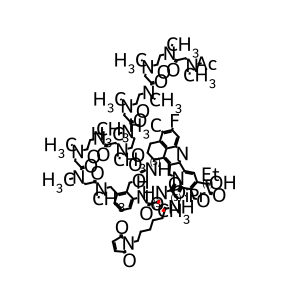 CC[C@@]1(O)C(=O)OCc2c1cc1n(c2=O)Cc2c-1nc1cc(F)c(C)c3c1c2[C@@H](NC(=O)OCc1c(CN(C)C(=O)CN(C)C(=O)CN(C)C(=O)CN(C)C(=O)CN(C)C(=O)CN(C)C(=O)CN(C)C(=O)CN(C)C(=O)CN(C)C(=O)CN(C)C(=O)CN(C)C(C)=O)cccc1NC(=O)[C@H](C)NC(=O)[C@@H](NC(=O)CCCCCN1C(=O)C=CC1=O)C(C)C)CC3